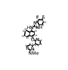 CNc1nccc(-c2cccnc2Oc2ccc(Nc3nc4c(F)c(F)ccc4[nH]3)c3ccccc23)n1